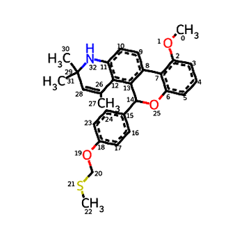 COc1cccc2c1-c1ccc3c(c1C(c1ccc(OCSC)cc1)O2)C(C)=CC(C)(C)N3